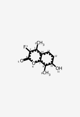 Cc1c(F)c(=O)oc2c(C)c(O)ccc12